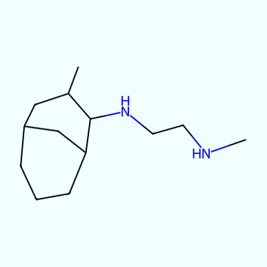 CNCCNC1C(C)CC2CCCC1C2